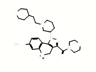 COc1ccc2c(c1)S(=O)(=O)Cc1c(C(=O)N3CCOCC3)nn([C@H]3CCCN(CCC4CCOCC4)C3)c1-2